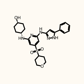 O=S(=O)(c1cc(Nc2cc(-c3ccccc3)[nH]n2)nc(N[C@H]2CC[C@H](O)CC2)c1)C1CCOCC1